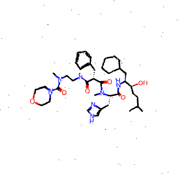 CC(C)CC[C@H](O)[C@H](CC1CCCCC1)NC(=O)[C@H](Cc1c[nH]cn1)N(C)C(=O)[C@@H](Cc1ccccc1)C(=O)N(C)CCN(C)C(=O)N1CCOCC1